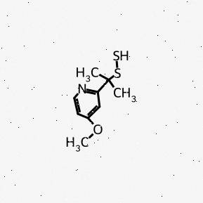 COc1ccnc(C(C)(C)SS)c1